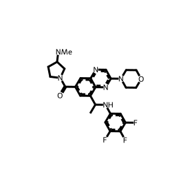 CNC1CCN(C(=O)c2cc(C(C)Nc3cc(F)c(F)c(F)c3)c3nc(N4CCOCC4)cnc3c2)C1